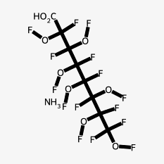 N.O=C(O)C(F)(OF)C(F)(OF)C(F)(OF)C(F)(OF)C(F)(OF)C(F)(OF)C(F)(F)OF